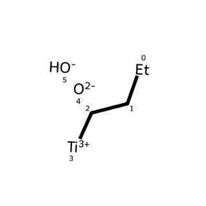 CCC[CH2][Ti+3].[O-2].[OH-]